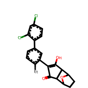 CCc1ccc(-c2ccc(Cl)cc2Cl)cc1C1=C(O)C2C3CCC(O3)C2C1=O